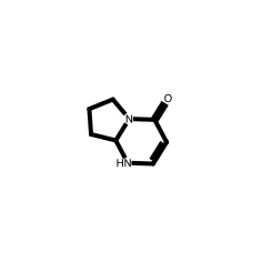 O=C1C=CNC2CCCN12